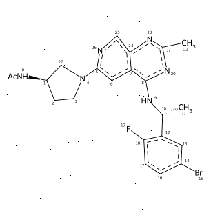 CC(=O)N[C@@H]1CCN(c2cc3c(N[C@H](C)c4cc(Br)ccc4F)nc(C)nc3cn2)C1